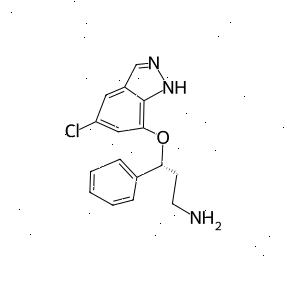 NCC[C@@H](Oc1cc(Cl)cc2cn[nH]c12)c1ccccc1